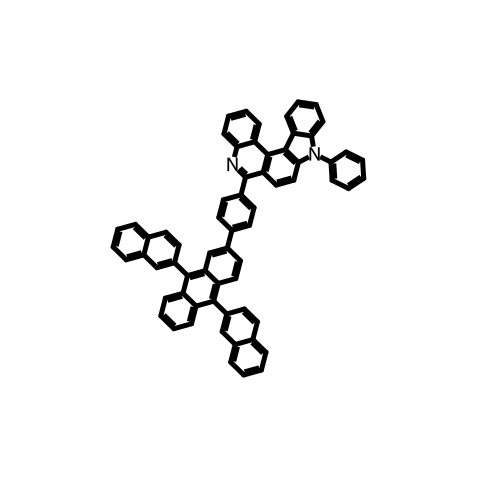 c1ccc(-n2c3ccccc3c3c4c(ccc32)c(-c2ccc(-c3ccc5c(-c6ccc7ccccc7c6)c6ccccc6c(-c6ccc7ccccc7c6)c5c3)cc2)nc2ccccc24)cc1